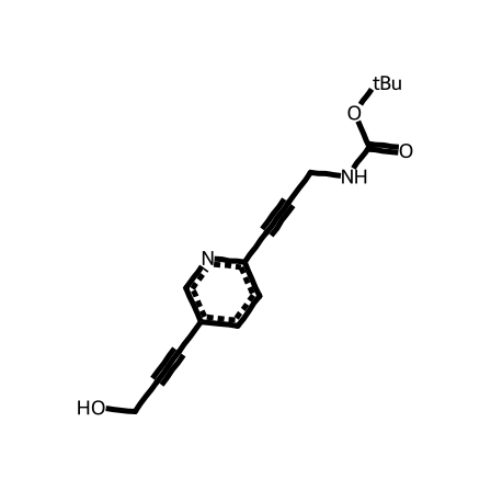 CC(C)(C)OC(=O)NCC#Cc1ccc(C#CCO)cn1